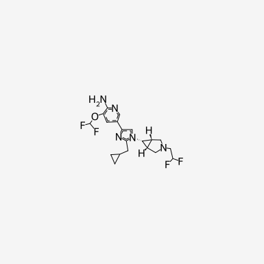 Nc1ncc(-c2cn([C@@H]3[C@@H]4CN(CC(F)F)C[C@@H]43)c(CC3CC3)n2)cc1OC(F)F